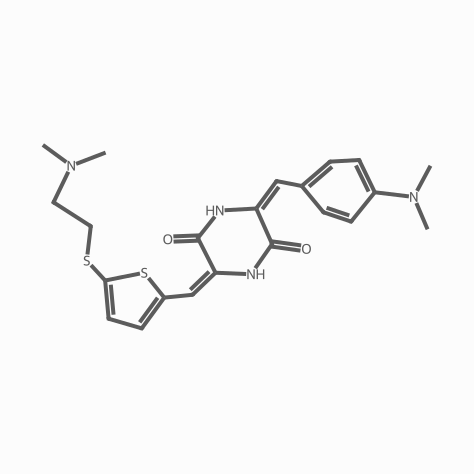 CN(C)CCSc1ccc(C=c2[nH]c(=O)c(=Cc3ccc(N(C)C)cc3)[nH]c2=O)s1